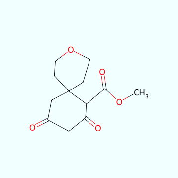 COC(=O)C1C(=O)CC(=O)CC12CCOCC2